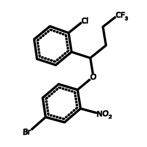 O=[N+]([O-])c1cc(Br)ccc1OC(CCC(F)(F)F)c1ccccc1Cl